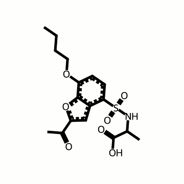 CCCCOc1ccc(S(=O)(=O)NC(C)C(=O)O)c2cc(C(C)=O)oc12